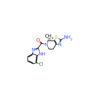 C[C@@H]1c2sc(N)nc2CCN1C(=O)c1nc2cccc(Cl)c2[nH]1